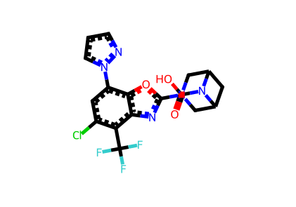 O=C(O)N1C2CC1CN(c1nc3c(C(F)(F)F)c(Cl)cc(-n4cccn4)c3o1)C2